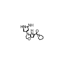 N=c1cc(N2CCOc3cc(C(=O)N4CCCCC4)[nH]c32)cc[nH]1